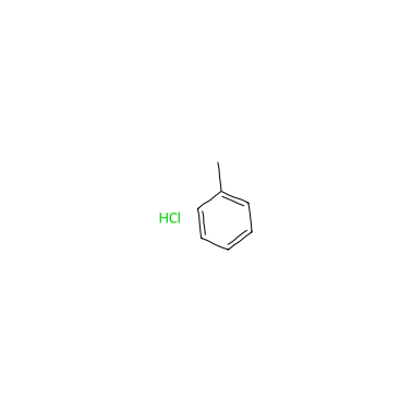 Cc1ccccc1.Cl